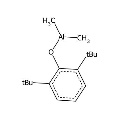 [CH3][Al]([CH3])[O]c1c(C(C)(C)C)cccc1C(C)(C)C